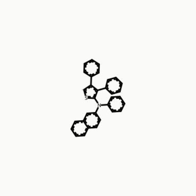 [c]1sc(N(c2ccccc2)c2ccc3ccccc3c2)c(-c2ccccc2)c1-c1ccccc1